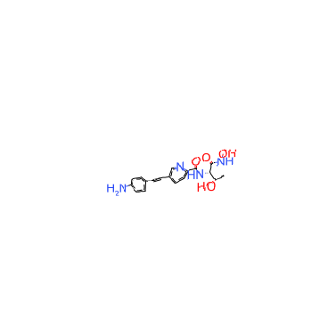 C[C@@H](O)[C@H](NC(=O)c1ccc(C#Cc2ccc(N)cc2)cn1)C(=O)NO